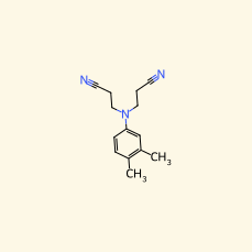 Cc1ccc(N(CCC#N)CCC#N)cc1C